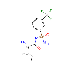 CC[C@H](C)[C@H](N)C(=O)N=S(N)(=O)c1cccc(C(F)(F)F)c1